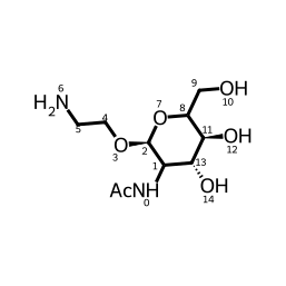 CC(=O)NC1[C@@H](OCCN)OC(CO)[C@@H](O)[C@@H]1O